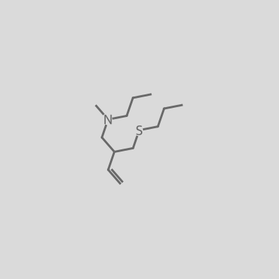 C=CC(CSCCC)CN(C)CCC